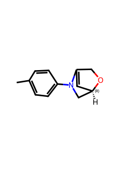 Cc1ccc(N2C[C@H]3C=C2CO3)cc1